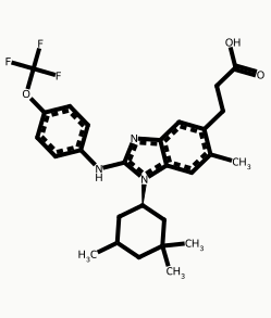 Cc1cc2c(cc1CCC(=O)O)nc(Nc1ccc(OC(F)(F)F)cc1)n2[C@@H]1CC(C)CC(C)(C)C1